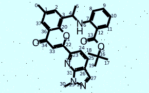 Cc1cc(C(C)Nc2ccccc2C(=O)OC(C)(C)C)c2oc(-c3ccc4cnn(C)c4n3)cc(=O)c2c1